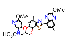 COc1ccc(N(C[C@@H]2COc3c(cc(C)c4nc(-c5cc(C)cc6nc(OC)cnc56)sc34)O2)C(=O)O)cn1